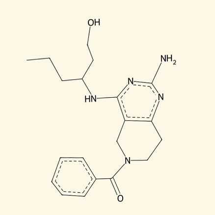 CCCC(CCO)Nc1nc(N)nc2c1CN(C(=O)c1ccccc1)CC2